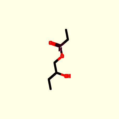 CCC(O)CO[PH](=O)CC